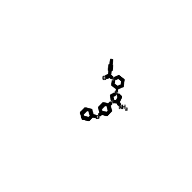 CC#CC(=O)N1CCC[C@@H](N2C=C(N)N(c3ccc(Oc4ccccc4)cc3)C2)C1